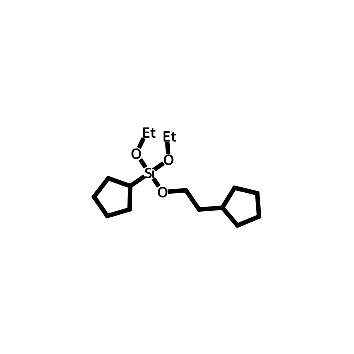 CCO[Si](OCC)(OCCC1CCCC1)C1CCCC1